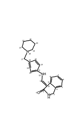 O=C1NCc2ccccc2/C1=C\Nc1ccc(CN2CCCCC2)cc1